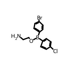 NCCOB(c1ccc(Cl)cc1)c1ccc(Br)cc1